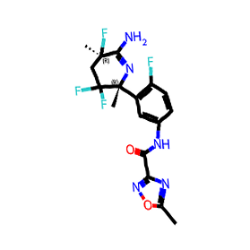 Cc1nc(C(=O)Nc2ccc(F)c([C@@]3(C)N=C(N)[C@](C)(F)CC3(F)F)c2)no1